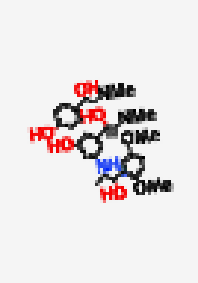 CNCC(O)c1ccc(O)cc1.CNC[C@H](O)c1cccc(O)c1.COc1ccc(OC)c(C(O)C(C)N)c1